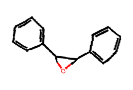 c1ccc(C2OC2c2ccccc2)cc1